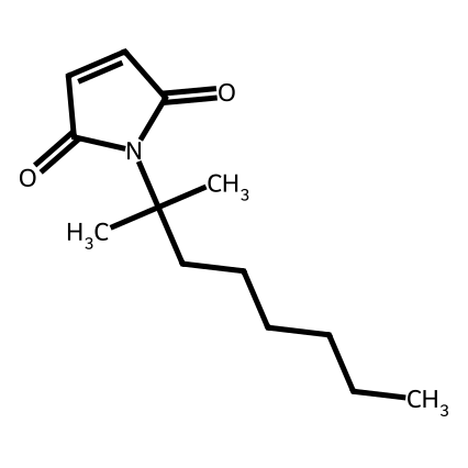 CCCCCCC(C)(C)N1C(=O)C=CC1=O